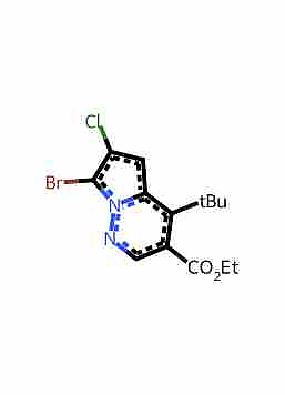 CCOC(=O)c1cnn2c(Br)c(Cl)cc2c1C(C)(C)C